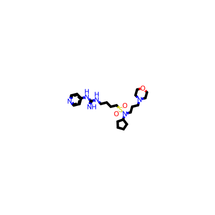 N=C(NCCCCS(=O)(=O)N(CCCN1CCOCC1)C1CCCC1)Nc1ccncc1